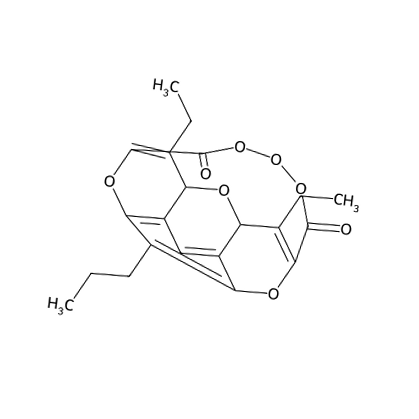 CCCc1c2c3cc4c1OC1=C(CC)C4OC3C(CC)=C(O2)C(=O)OOOC1=O